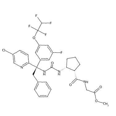 COC(=O)CNC(=O)[C@H]1CCC[C@H]1NC(=O)N[C@@](Cc1ccccc1)(c1cc(F)cc(OC(F)(F)C(F)F)c1)c1ccc(Cl)cn1